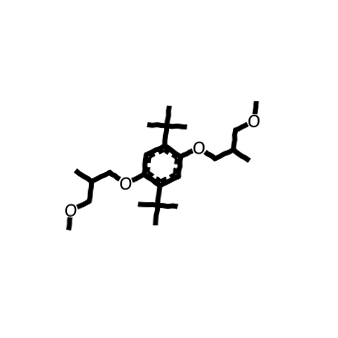 COCC(C)COc1cc(C(C)(C)C)c(OCC(C)COC)cc1C(C)(C)C